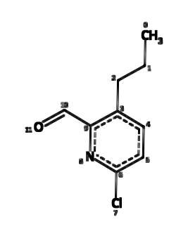 CCCc1ccc(Cl)nc1C=O